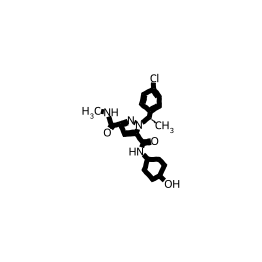 CNC(=O)c1cc(C(=O)NC2CCC(O)CC2)n([C@@H](C)c2ccc(Cl)cc2)n1